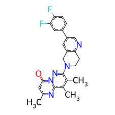 Cc1cc(=O)n2nc(N3CCc4ncc(-c5ccc(F)c(F)c5)cc4C3)c(C)c(C)c2n1